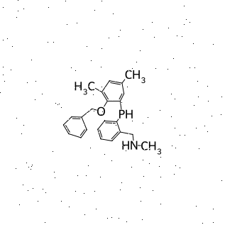 CNCc1ccccc1Pc1cc(C)cc(C)c1OCc1ccccc1